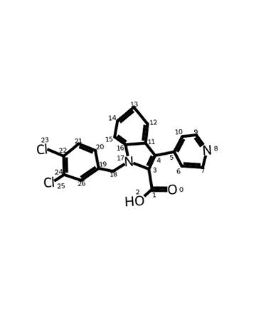 O=C(O)c1c(-c2ccncc2)c2ccccc2n1Cc1ccc(Cl)c(Cl)c1